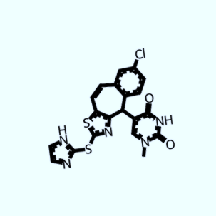 Cn1cc(C2c3ccc(Cl)cc3C=Cc3sc(Sc4ncc[nH]4)nc32)c(=O)[nH]c1=O